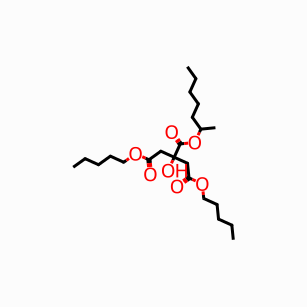 CCCCCOC(=O)CC(O)(CC(=O)OCCCCC)C(=O)OC(C)CCCCC